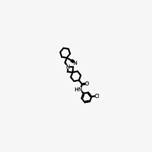 N#CC1(CN2CC3(CCC(C(=O)Nc4cccc(Cl)c4)CC3)C2)CCCCC1